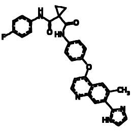 Cc1cc2c(Oc3ccc(NC(=O)C4(C(=O)Nc5ccc(F)cc5)CC4)cc3)ccnc2cc1-c1ncc[nH]1